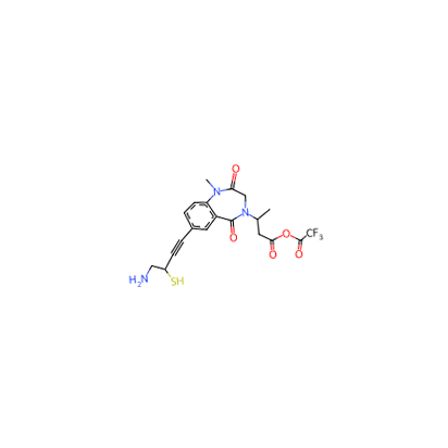 CC(CC(=O)OC(=O)C(F)(F)F)N1CC(=O)N(C)c2ccc(C#CC(S)CN)cc2C1=O